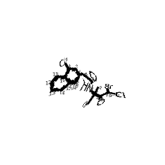 CC(C)(NC(=O)c1cc(Cl)c2ccccc2c1)C(=O)C(Cl)Br